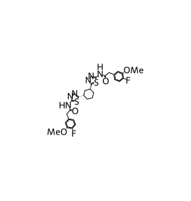 COc1cc(CC(=O)Nc2nnc([C@H]3CCC[C@H](c4nnc(NC(=O)Cc5ccc(F)c(OC)c5)s4)C3)s2)ccc1F